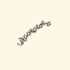 COC(=O)NC(=N)c1ccc(-c2ccc(C(=O)NC3CCC(C(=O)OC4CCN(C(=O)OCc5ccccc5)CC4)CC3)cc2)cc1